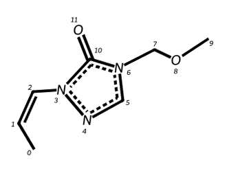 C/C=C\n1ncn(COC)c1=O